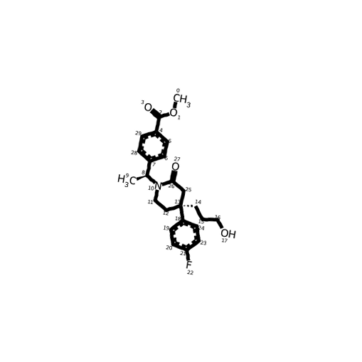 COC(=O)c1ccc([C@H](C)N2CC[C@](CCCO)(c3ccc(F)cc3)CC2=O)cc1